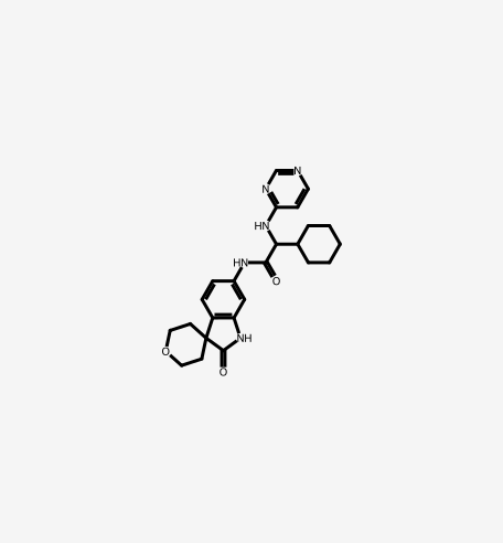 O=C(Nc1ccc2c(c1)NC(=O)C21CCOCC1)C(Nc1ccncn1)C1CCCCC1